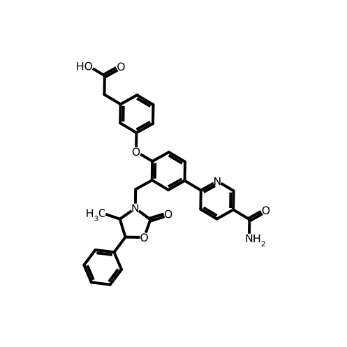 CC1C(c2ccccc2)OC(=O)N1Cc1cc(-c2ccc(C(N)=O)cn2)ccc1Oc1cccc(CC(=O)O)c1